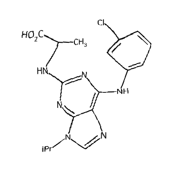 CC(Nc1nc(Nc2cccc(Cl)c2)c2ncn(C(C)C)c2n1)C(=O)O